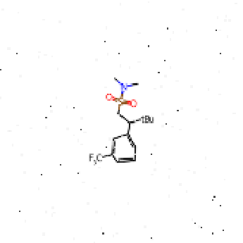 CN(C)S(=O)(=O)C[C](c1cccc(C(F)(F)F)c1)C(C)(C)C